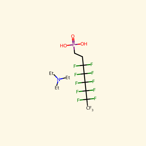 CCN(CC)CC.O=P(O)(O)CCC(F)(F)C(F)(F)C(F)(F)C(F)(F)C(F)(F)C(F)(F)F